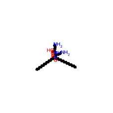 CCCCCCCCCCCCCCCC(=O)N(C(=O)CCCCCCCCCCCCCCC)[C@@H](CCCCN)C(=O)N[C@@H](CCCCN)C(=O)O